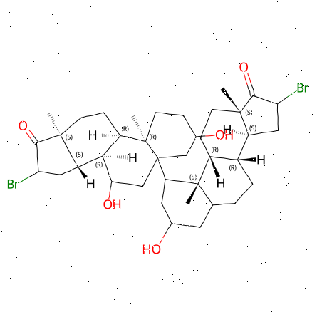 C[C@]12C(CC[C@@H]3[C@H]1CC[C@]1(C)C(=O)C(Br)C[C@@H]31)CC(O)CC2C12CC(O)CC[C@]1(C)[C@@H]1CC[C@]3(C)C(=O)C(Br)C[C@H]3[C@@H]1C(O)C2